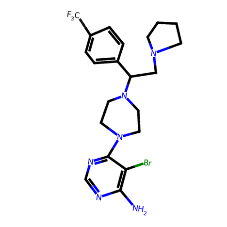 Nc1ncnc(N2CCN(C(CN3CCCC3)c3ccc(C(F)(F)F)cc3)CC2)c1Br